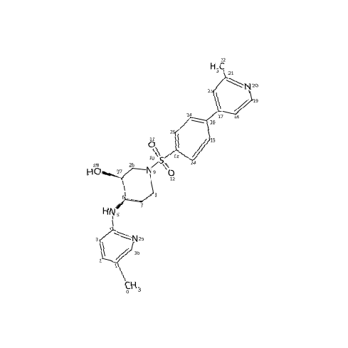 Cc1ccc(N[C@@H]2CCN(S(=O)(=O)c3ccc(-c4ccnc(C)c4)cc3)C[C@@H]2O)nc1